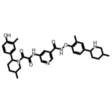 Cc1cc(C2CCC(C)CN2C(=O)C(=O)Nc2cncc(C(=O)NOc3ccc(C4CCC(C)CN4)cc3C)c2)ccc1O